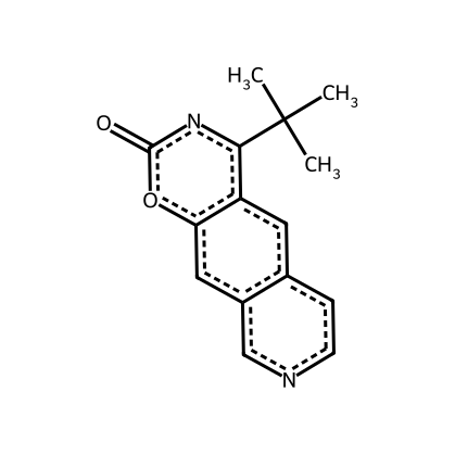 CC(C)(C)c1nc(=O)oc2cc3cnccc3cc12